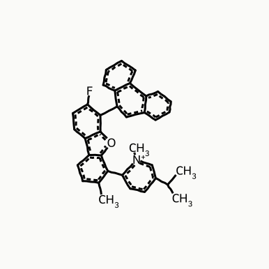 Cc1ccc2c(oc3c(-c4cc5ccccc5c5ccccc45)c(F)ccc32)c1-c1ccc(C(C)C)c[n+]1C